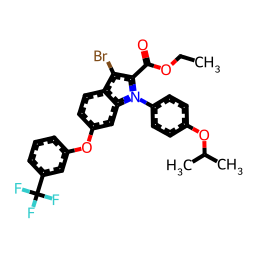 CCOC(=O)c1c(Br)c2ccc(Oc3cccc(C(F)(F)F)c3)cc2n1-c1ccc(OC(C)C)cc1